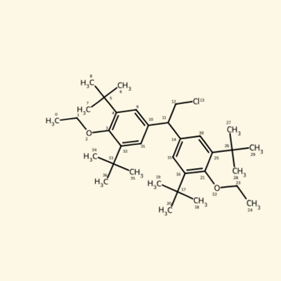 CCOc1c(C(C)(C)C)cc(C(CCl)c2cc(C(C)(C)C)c(OCC)c(C(C)(C)C)c2)cc1C(C)(C)C